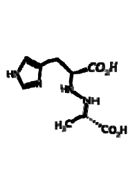 C[C@H](NN[C@@H](Cc1c[nH]cn1)C(=O)O)C(=O)O